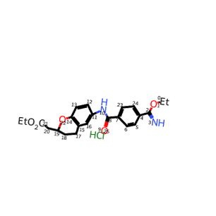 CCOC(=N)c1ccc(C(=O)Nc2ccc3c(c2)CCC(CC(=O)OCC)O3)cc1.Cl